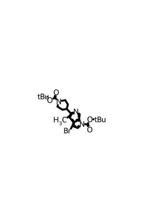 Cc1c(C2CCN(C(=O)OC(C)(C)C)CC2)ncc2c1c(Br)cn2C(=O)OC(C)(C)C